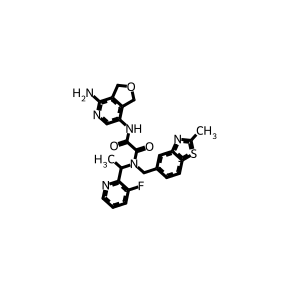 Cc1nc2cc(CN(C(=O)C(=O)Nc3cnc(N)c4c3COC4)C(C)c3ncccc3F)ccc2s1